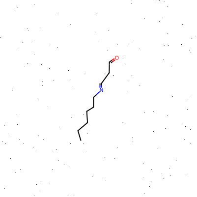 CCCCCCN=CCC=O